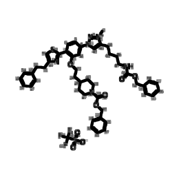 C[n+]1nn(-c2ccc(-c3nc(CCc4ccccc4)cs3)c(OCCC3CCN(C(=O)OCc4ccccc4)CC3)c2)cc1CCCCNC(=O)OCc1ccccc1.O=S(=O)([O-])C(F)(F)F